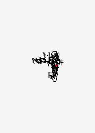 C=C(F)C(=O)N1Cc2cc(-c3nc(-c4ccc5c(c4)CCN(C)C5)c4ccsc4c3-c3c(F)cc(F)cc3OC[C@@H](C)O)nn2C[C@H]1C